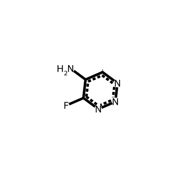 Nc1[c]nnnc1F